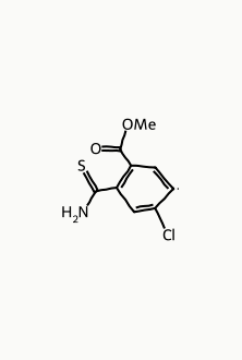 COC(=O)c1c[c]c(Cl)cc1C(N)=S